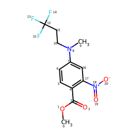 COC(=O)c1ccc(N(C)CCC(F)(F)F)cc1[N+](=O)[O-]